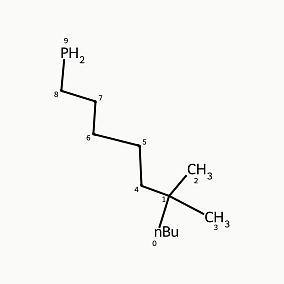 CCCCC(C)(C)CCCCCP